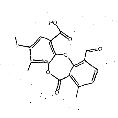 COc1cc(C(=O)O)c2c(c1C)OC(=O)c1c(C)ccc(C=O)c1O2